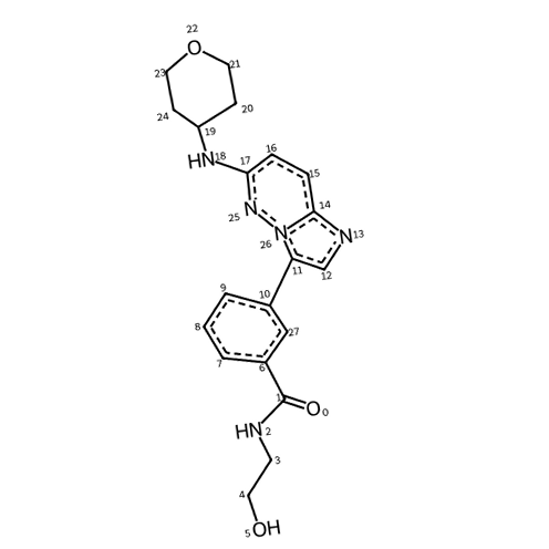 O=C(NCCO)c1cccc(-c2cnc3ccc(NC4CCOCC4)nn23)c1